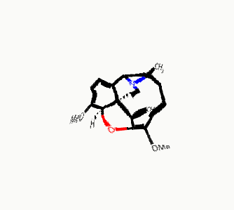 C=C1/C2=C(OC)\C=C/CCC3C4=CC=C(OC)[C@H](O2)[C@]14CCN3C